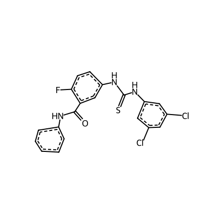 O=C(Nc1ccccc1)c1cc(NC(=S)Nc2cc(Cl)cc(Cl)c2)ccc1F